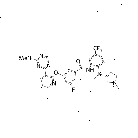 CNc1ncnc(-c2cccnc2Oc2cc(F)cc(C(=O)Nc3cc(C(F)(F)F)ccc3N(C)C3CCN(C)C3)c2)n1